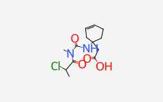 CC(Cl)C(=O)N(C)C(=O)NC1(CC(=O)O)CC=CCC1